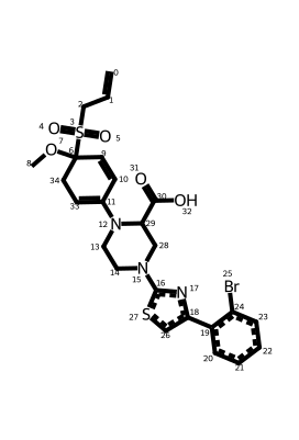 C=CCS(=O)(=O)C1(OC)C=CC(N2CCN(c3nc(-c4ccccc4Br)cs3)CC2C(=O)O)=CC1